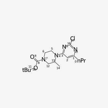 CCCc1cc(N2CCN(C(=O)OC(C)(C)C)CC2C)nc(Cl)n1